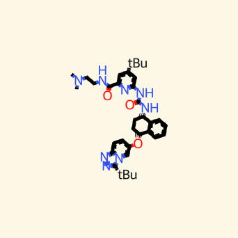 CN(C)CCNC(=O)c1cc(C(C)(C)C)cc(NC(=O)N[C@H]2CC[C@@H](Oc3ccc4nnc(C(C)(C)C)n4c3)c3ccccc32)n1